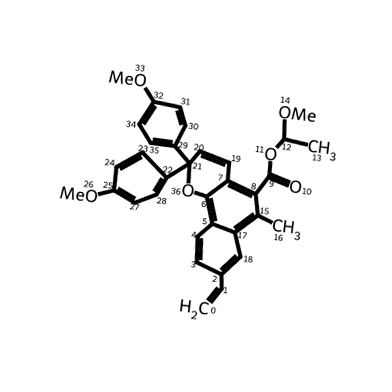 C=Cc1ccc2c3c(c(C(=O)OC(C)OC)c(C)c2c1)C=CC(c1ccc(OC)cc1)(c1ccc(OC)cc1)O3